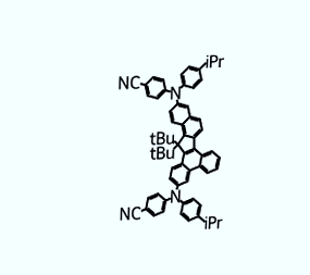 CC(C)c1ccc(N(c2ccc(C#N)cc2)c2ccc3c4c(ccc3c2)-c2c(c3ccc(N(c5ccc(C#N)cc5)c5ccc(C(C)C)cc5)cc3c3ccccc23)C4(C(C)(C)C)C(C)(C)C)cc1